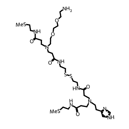 CSCCNC(=O)CCN(CCOCCOCCN)CCC(=O)NCCSSCCNC(=O)CCN(CCC(=O)NCCSC)CCc1c[nH]cn1